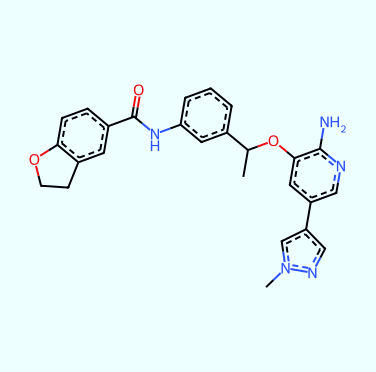 CC(Oc1cc(-c2cnn(C)c2)cnc1N)c1cccc(NC(=O)c2ccc3c(c2)CCO3)c1